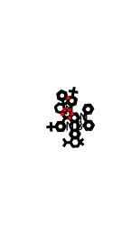 CC(C)C1CCC(C)(C)c2cc3c(cc21)N(c1ccc(C(C)(C)C)cc1-c1ccccc1)c1cc(N2c4ccc(C(C)(C)C)cc4C4(c5ccccc5)CCCCC24C)cc2c1B3c1ccccc1N2c1ccccc1